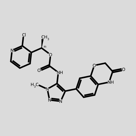 C[C@@H](OC(=O)Nc1c(-c2ccc3c(c2)OCC(=O)N3)nnn1C)c1cccnc1Cl